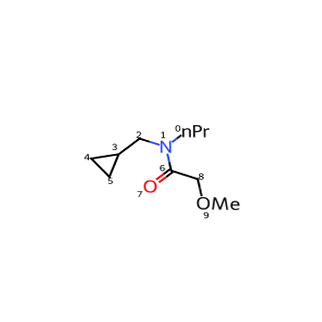 CCCN(CC1CC1)C(=O)COC